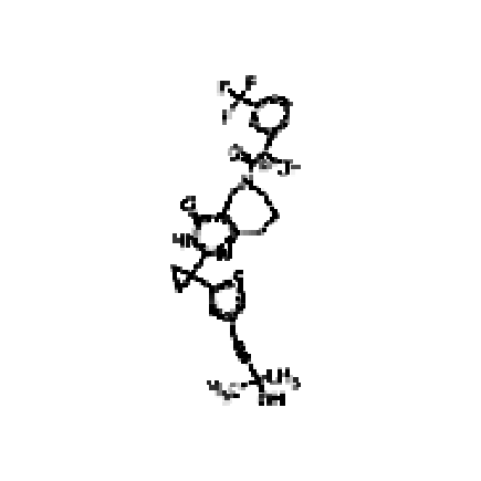 CC(C)(O)C#Cc1csc(C2(c3nc4c(c(=O)[nH]3)CN(C(=O)[C@H](O)c3cccc(C(F)(F)F)c3)CCC4)CC2)c1